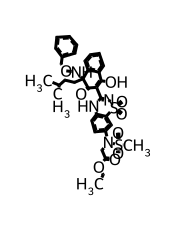 CCOC(=O)CN(c1ccc2c(c1)S(=O)(=O)N=C(C1=C(O)c3ccccc3C(CCC(C)C)(NOCc3ccccc3)C1=O)N2)S(C)(=O)=O